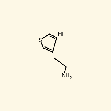 CCN.I.c1ccsc1